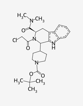 CN(C)C(=O)[C@H]1Cc2c([nH]c3ccccc23)C(C2CCN(C(=O)OC(C)(C)C)CC2)N1C(=O)CCl